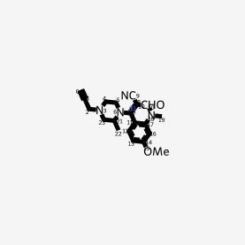 C#CCN1CCN(/C(=C(\C#N)C=O)c2ccc(OC)cc2N(C)C)C(C)C1